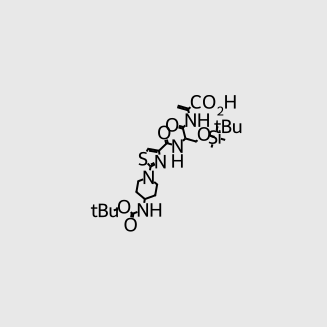 C=C(NC(=O)C(CO[Si](C)(C)C(C)(C)C)NC(=O)c1csc(N2CCC(NC(=O)OC(C)(C)C)CC2)n1)C(=O)O